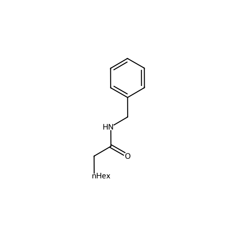 CCCCCCCC(=O)NCc1ccccc1